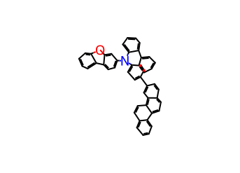 c1ccc(-c2ccccc2N(c2ccc(-c3ccc4ccc5c6ccccc6ccc5c4c3)cc2)c2ccc3c(c2)oc2ccccc23)cc1